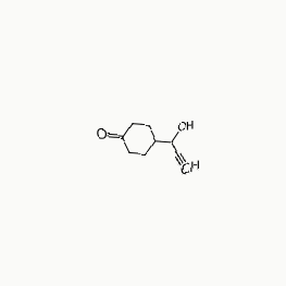 C#CC(O)C1CCC(=O)CC1